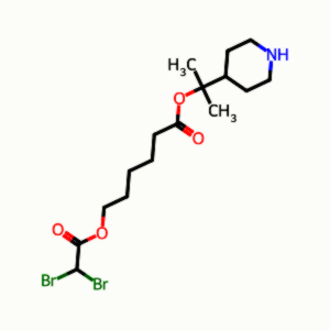 CC(C)(OC(=O)CCCCCOC(=O)C(Br)Br)C1CCNCC1